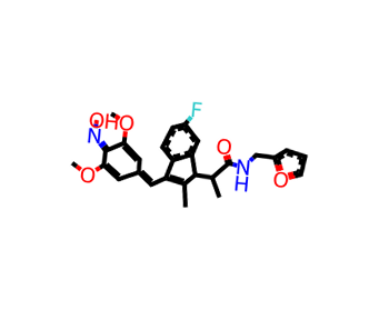 COC1=CC(=CC2=C(C)C(C(C)C(=O)NCc3ccco3)c3cc(F)ccc32)C=C(OC)C1=NO